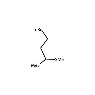 CCCCCCC(SC)SC